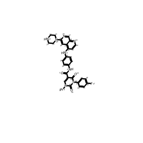 CC(C)n1cc(C(=O)Nc2ccc(Nc3ccnc4cnc(N5CCNCC5)cc34)cc2)c(=O)n(-c2ccc(F)cc2)c1=O